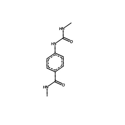 CNC(=O)Nc1ccc(C(=O)NC)cc1